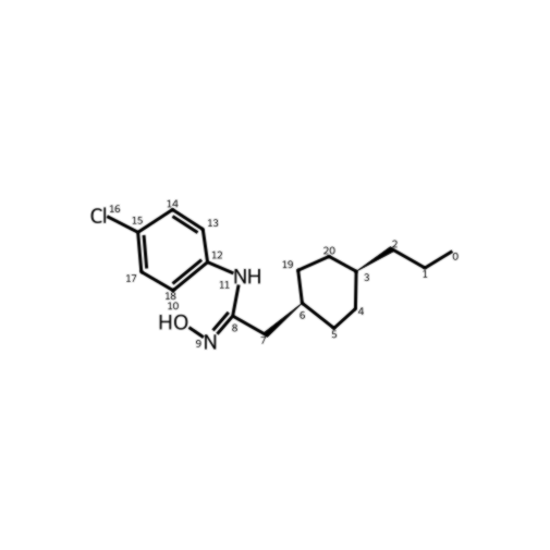 CCC[C@H]1CC[C@@H](C/C(=N/O)Nc2ccc(Cl)cc2)CC1